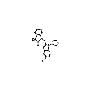 O=C1N(Cc2cc3cc(Cl)cnc3n2C2CCSC2)c2cnccc2C12CC2